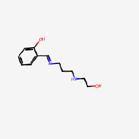 OCCNCCCN=Cc1ccccc1O